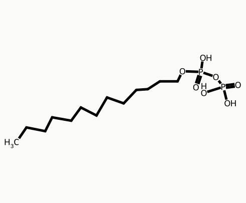 CCCCCCCCCCCCCOP(=O)(O)OP(=O)(O)O